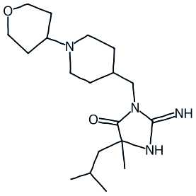 CC(C)CC1(C)NC(=N)N(CC2CCN(C3CCOCC3)CC2)C1=O